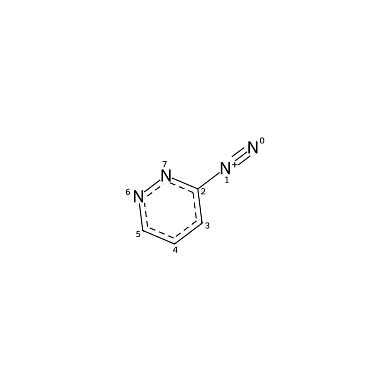 N#[N+]c1cccnn1